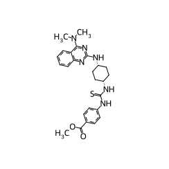 COC(=O)c1ccc(NC(=S)N[C@H]2CC[C@@H](Nc3nc(N(C)C)c4ccccc4n3)CC2)cc1